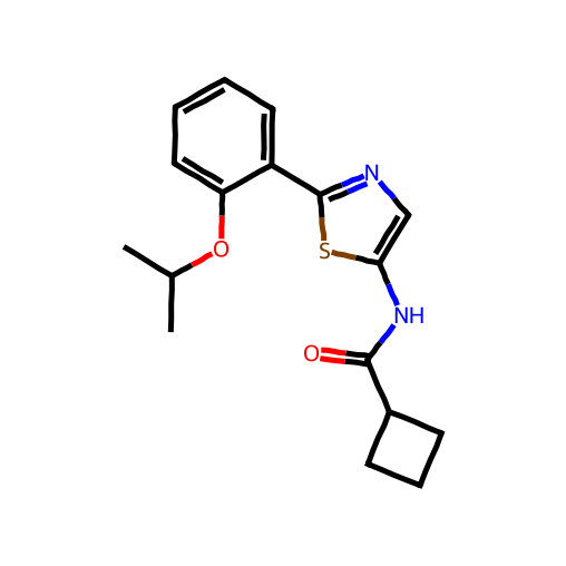 CC(C)Oc1ccccc1-c1ncc(NC(=O)C2CCC2)s1